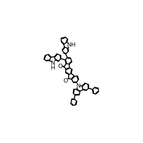 O=c1c2cc(-n3c4ccc(-c5ccccc5)cc4c4cc(-c5ccccc5)ccc43)ccc2c2cc3c(cc12)c(=O)c1c(-c2ccc4c(c2)[nH]c2ccccc24)c(-c2ccc4c(c2)[nH]c2ccccc24)ccc13